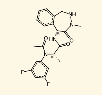 CC(=O)N(c1cc(F)cc(F)c1)[C@@H](C)C(=O)N[C@H]1C(=O)N(C)NCc2ccccc21